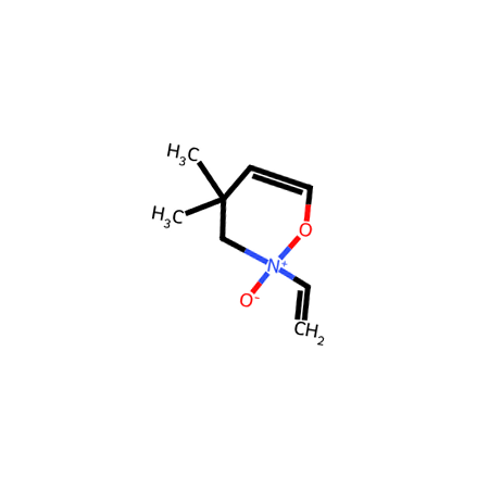 C=C[N+]1([O-])CC(C)(C)C=CO1